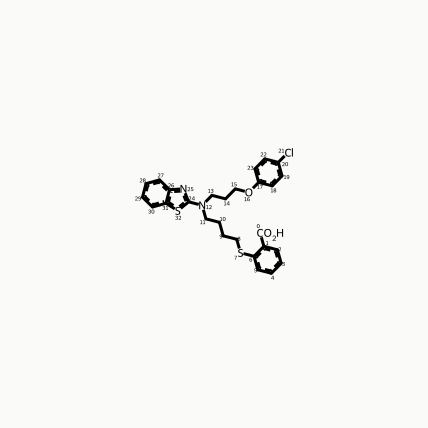 O=C(O)c1ccccc1SCCCCN(CCCOc1ccc(Cl)cc1)c1nc2ccccc2s1